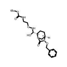 CC(C)(C)OC(=O)NCCONC(O)[C@@H]1CC[C@@H]2CN1C(=O)N2OCc1ccccc1